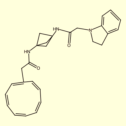 O=C(Cc1ccccccccc1)NC12CC(NC(=O)CN3CCc4ccccc43)(C1)C2